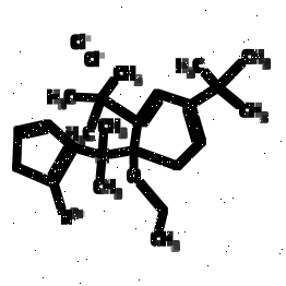 CCOC1([Si](C)(C)C2=[C]([Ti+2])CC=C2)CC=C(C(C)(C)C)C=C1C(C)(C)C.[Cl-].[Cl-]